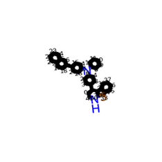 C1=C(c2ccc(N(c3ccccc3)c3ccc(-c4ccc5ccccc5c4)cc3)cc2)c2c(sc3ccccc23)NC1